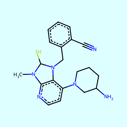 CN1c2nccc(N3CCCC(N)C3)c2N(Cc2ccccc2C#N)C1S